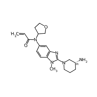 C=CC(=O)N(c1ccc2c(c1)nc(N1CCC[C@@H](N)C1)n2C)C1CCOC1